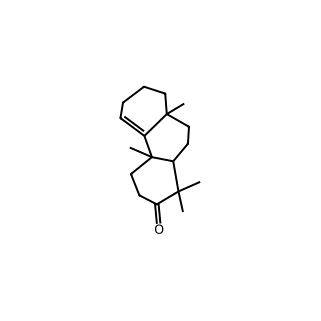 CC12CCCC=C1C1(C)CCC(=O)C(C)(C)C1CC2